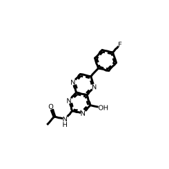 CC(=O)Nc1nc(O)c2nc(-c3ccc(F)cc3)cnc2n1